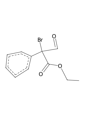 CCOC(=O)C(Br)(C=O)c1ccccc1